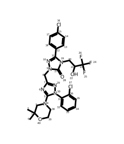 CC1(C)CN(c2nc(Cn3nc(-c4ccc(Cl)cc4)n(CC(O)C(F)(F)F)c3=O)nn2-c2ccccc2Cl)CCO1